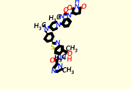 Cc1cncc(C(=O)Nc2cc3sc([C@H]4CC[C@H](CN(C)C5CCN(c6cccc7c6n(C)c(=O)n7C6CCC(=O)NC6=O)CC5)CC4)nc3cc2C(C)(C)O)n1